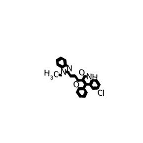 CCn1c(C=CC(=O)c2c(-c3ccccc3)c3cc(Cl)ccc3[nH]c2=O)nc2ccccc21